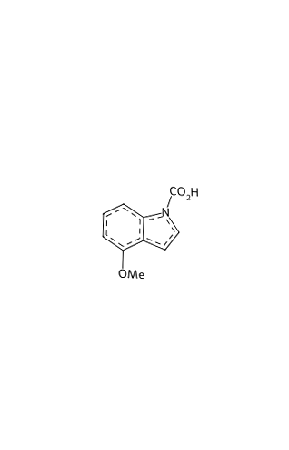 COc1cccc2c1ccn2C(=O)O